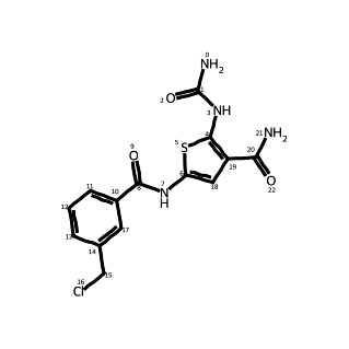 NC(=O)Nc1sc(NC(=O)c2cccc(CCl)c2)cc1C(N)=O